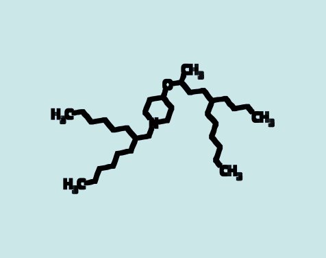 CCCCCCC(CCCC)CC[C@H](C)OC1CCN(CC(CCCCCC)CCCCCC)CC1